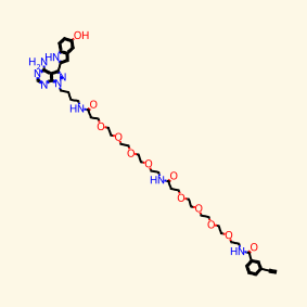 C#Cc1cccc(C(=O)NCCOCCOCCOCCOCCC(=O)NCCOCCOCCOCCOCCC(=O)NCCCCn2nc(-c3cc4cc(O)ccc4[nH]3)c3c(N)ncnc32)c1